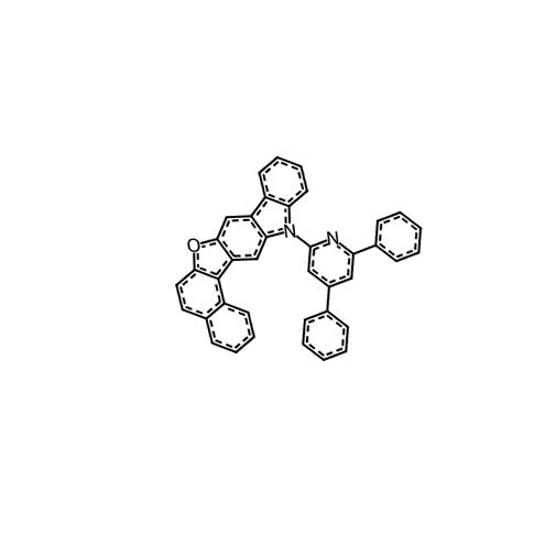 c1ccc(-c2cc(-c3ccccc3)nc(-n3c4ccccc4c4cc5oc6ccc7ccccc7c6c5cc43)c2)cc1